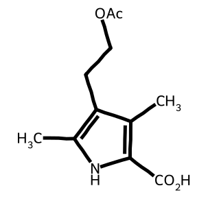 CC(=O)OCCc1c(C)[nH]c(C(=O)O)c1C